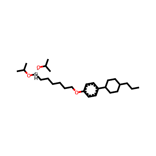 CCCC1CCC(c2ccc(OCCCCCC[SiH](OC(C)C)OC(C)C)cc2)CC1